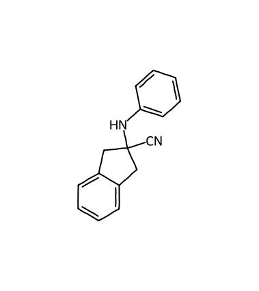 N#CC1(Nc2ccccc2)Cc2ccccc2C1